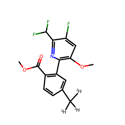 [2H]C([2H])([2H])c1ccc(C(=O)OC)c(-c2nc(C(F)F)c(F)cc2OC)c1